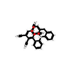 N#Cc1cc(C#N)c(C#N)c(-c2ccccc2N2c3ccccc3Cc3ccccc32)c1C#N